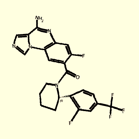 Nc1nc2cc(F)c(C(=O)N3CCCC[C@H]3c3ccc(C(F)(F)F)cc3F)cc2n2cncc12